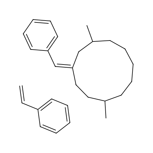 C=Cc1ccccc1.CC1CCCCCC(C)CC(=Cc2ccccc2)CC1